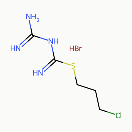 Br.N=C(N)NC(=N)SCCCCl